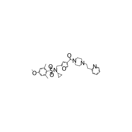 COc1cc(C)c(S(=O)(=O)N(Cc2cc(C(=O)N3CCN(CCc4ccccn4)CC3)co2)C2CC2)c(C)c1